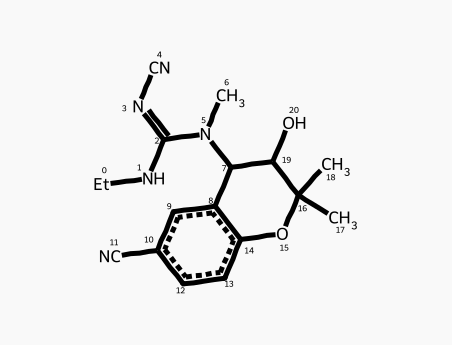 CCN/C(=N/C#N)N(C)C1c2cc(C#N)ccc2OC(C)(C)C1O